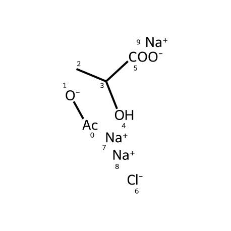 CC(=O)[O-].CC(O)C(=O)[O-].[Cl-].[Na+].[Na+].[Na+]